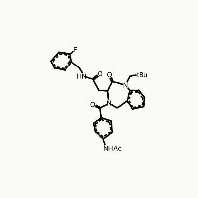 CC(=O)Nc1ccc(C(=O)N2Cc3ccccc3N(CC(C)(C)C)C(=O)C2CC(=O)NCc2ccccc2F)cc1